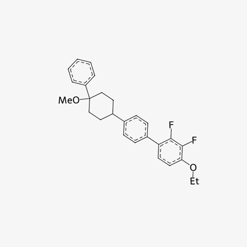 CCOc1ccc(-c2ccc(C3CCC(OC)(c4ccccc4)CC3)cc2)c(F)c1F